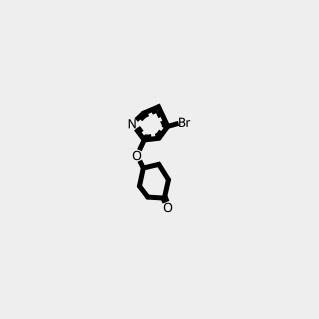 O=C1CCC(Oc2cc(Br)ccn2)CC1